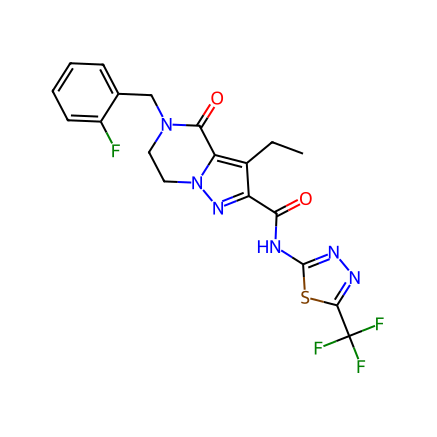 CCc1c(C(=O)Nc2nnc(C(F)(F)F)s2)nn2c1C(=O)N(Cc1ccccc1F)CC2